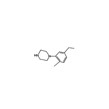 CCc1ccc(C)c(N2CCNCC2)c1